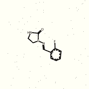 O=C1NCCN1N=Cc1ccccc1F